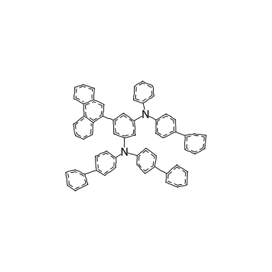 c1ccc(-c2ccc(N(c3ccccc3)c3cc(-c4cc5ccccc5c5ccccc45)cc(N(c4ccc(-c5ccccc5)cc4)c4ccc(-c5ccccc5)cc4)c3)cc2)cc1